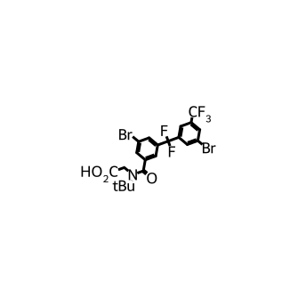 CC(C)(C)N(CC(=O)O)C(=O)c1cc(Br)cc(C(F)(F)c2cc(Br)cc(C(F)(F)F)c2)c1